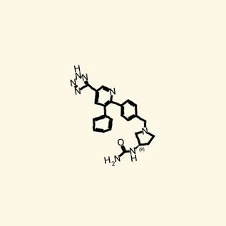 NC(=O)N[C@@H]1CCN(Cc2ccc(-c3ncc(-c4nn[nH]n4)cc3-c3ccccc3)cc2)C1